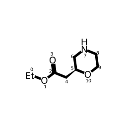 CCOC(=O)C[C@H]1CNCCO1